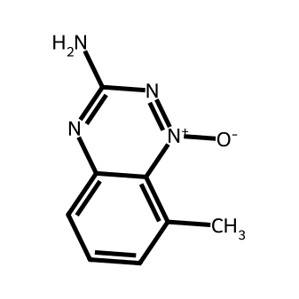 Cc1cccc2nc(N)n[n+]([O-])c12